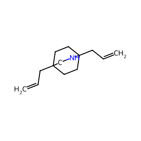 C=CCC12CCC(CC=C)(CC1)NC2